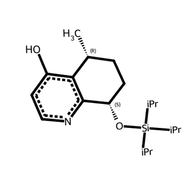 CC(C)[Si](O[C@H]1CC[C@@H](C)c2c(O)ccnc21)(C(C)C)C(C)C